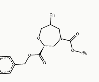 CC(C)(C)OC(=O)N1CC(O)CO[C@H](C(=O)OCc2ccccc2)C1